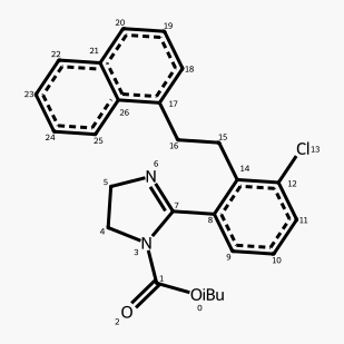 CC(C)COC(=O)N1CCN=C1c1cccc(Cl)c1CCc1cccc2ccccc12